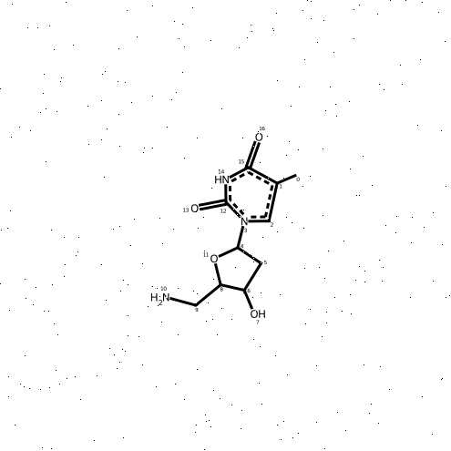 Cc1cn(C2CC(O)C(CN)O2)c(=O)[nH]c1=O